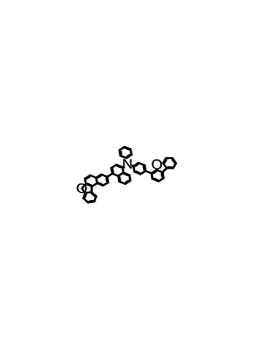 c1ccc(N(c2ccc(-c3cccc4c3oc3ccccc34)cc2)c2ccc(-c3ccc4c(ccc5oc6ccccc6c54)c3)c3ccccc23)cc1